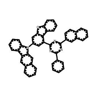 c1ccc(-c2nc(-c3ccc4ccccc4c3)nc(-c3cc(-n4c5ccccc5c5cc6ccccc6cc54)cc4oc5ccccc5c34)n2)cc1